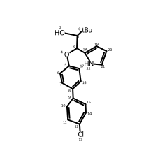 CC(C)(C)C(O)C(Oc1ccc(-c2ccc(Cl)cc2)cc1)c1ccc[nH]1